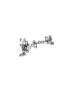 CC(C)N(C)[C@@H]1CC[C@H](N2CC[C@H](Nc3ncnc4ccc(C(F)(F)F)cc34)C2=O)[C@H](NC(=O)[C@H]2CC[C@H](c3ccc(C(=O)NCCOCCOCCNC(=O)[C@H]4CC(=O)N(C)[C@@H]4c4cccnc4)cc3)CC2)C1